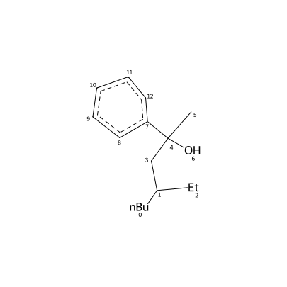 CCCCC(CC)CC(C)(O)c1ccccc1